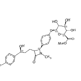 COC(=O)[C@H]1O[C@@H](Oc2ccc([C@@H]3C(CC[C@H](O)c4ccc(F)cc4)C(=O)N3C)cc2)C(O)[C@@H](O)C1O